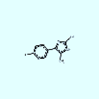 Cc1[nH]c(S)nc1-c1ccc(F)cc1